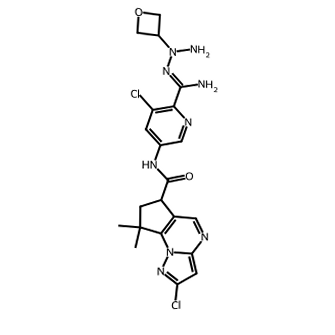 CC1(C)CC(C(=O)Nc2cnc(/C(N)=N/N(N)C3COC3)c(Cl)c2)c2cnc3cc(Cl)nn3c21